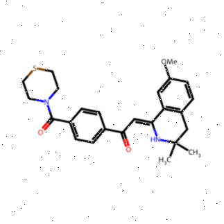 COc1ccc2c(c1)/C(=C/C(=O)c1ccc(C(=O)N3CCSCC3)cc1)NC(C)(C)C2